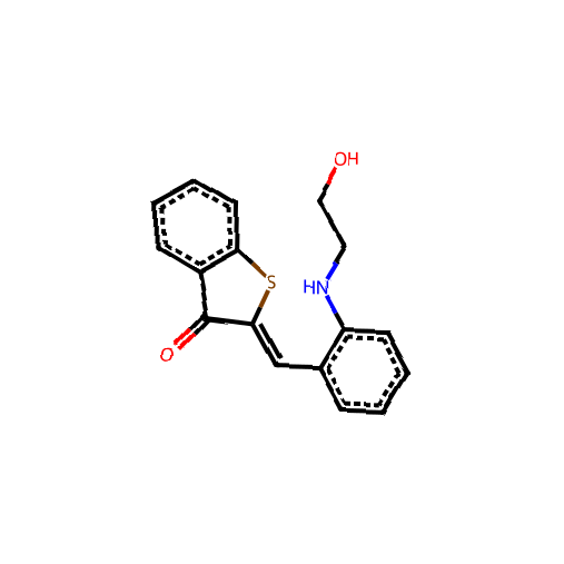 O=C1C(=Cc2ccccc2NCCO)Sc2ccccc21